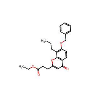 CCCc1c(OCc2ccccc2)ccc2c(=O)cc(CCC(=O)OCC)oc12